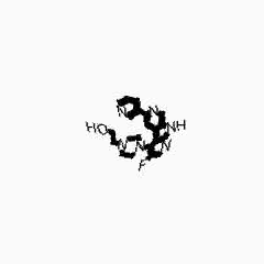 OCCN1CCN(c2c(F)cnc3[nH]c4cnc(-c5cccnc5)cc4c23)CC1